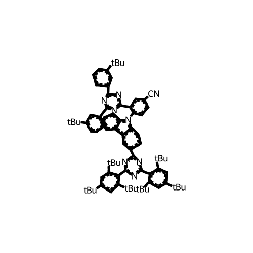 CC(C)(C)c1cccc(-c2nc(-c3cccc(C(C)(C)C)c3)nc(-c3cc(C#N)ccc3-n3c4ccccc4c4cc(-c5nc(-c6c(C(C)(C)C)cc(C(C)(C)C)cc6C(C)(C)C)nc(-c6c(C(C)(C)C)cc(C(C)(C)C)cc6C(C)(C)C)n5)ccc43)n2)c1